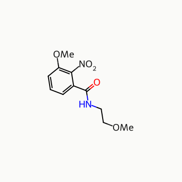 COCCNC(=O)c1cccc(OC)c1[N+](=O)[O-]